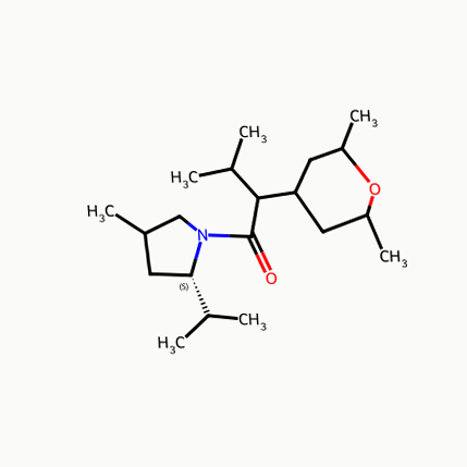 CC1C[C@@H](C(C)C)N(C(=O)C(C(C)C)C2CC(C)OC(C)C2)C1